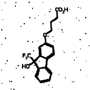 O=C(O)CCCOc1ccc2c(c1)C(O)(C(F)(F)F)c1ccccc1-2